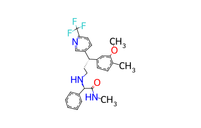 CNC(=O)[C@H](NCC[C@H](c1ccc(C(F)(F)F)nc1)c1ccc(C)c(OC)c1)c1ccccc1